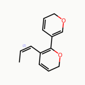 C/C=C\C1=C(C2=COCC=C2)OCC=C1